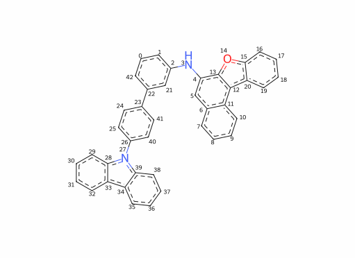 c1cc(Nc2cc3ccccc3c3c2oc2ccccc23)cc(-c2ccc(-n3c4ccccc4c4ccccc43)cc2)c1